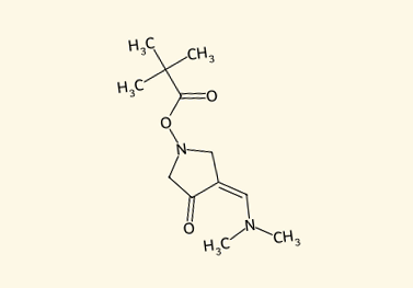 CN(C)C=C1CN(OC(=O)C(C)(C)C)CC1=O